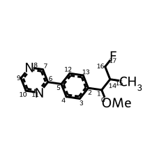 COC(c1ccc(-c2cnccn2)cc1)C(C)CF